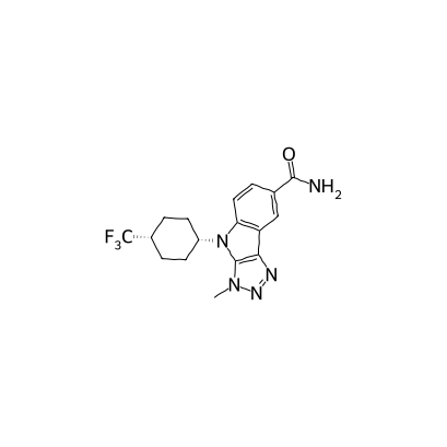 Cn1nnc2c3cc(C(N)=O)ccc3n([C@H]3CC[C@@H](C(F)(F)F)CC3)c21